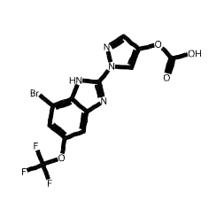 O=C(O)Oc1cnn(-c2nc3cc(OC(F)(F)F)cc(Br)c3[nH]2)c1